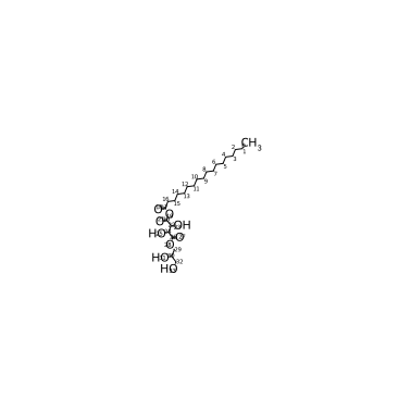 CCCCCCCCCCCCCCCCCC(=O)OC(=O)C(O)C(O)C(=O)OCC(O)CO